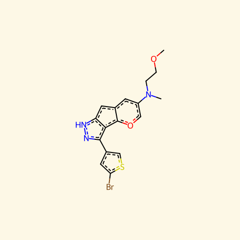 COCCN(C)c1coc2c3c(-c4csc(Br)c4)n[nH]c3cc-2c1